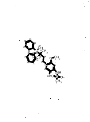 CSc1cc(NS(C)(=O)=O)c(I)cc1CCC(C)(C)[Si](O)(c1ccccc1)c1ccccc1